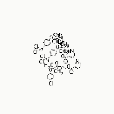 CC(C)(Oc1ccc(C2CC2(Cl)Cl)cc1)C(=O)O.CC(C)(Oc1ccc(C2CC2(Cl)Cl)cc1)C(=O)O.CC(C)(Oc1ccc(Cl)cc1)C(=O)OC(COC(=O)c1cccnc1)COC(=O)c1cccnc1